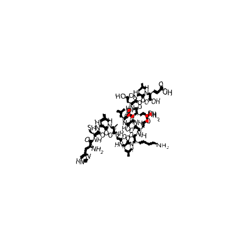 CC(C)C[C@H](NC(=O)CNC(=O)[C@H](C)NC(=O)[C@H](CC(C)C)NC(=O)[C@H](CS)NC(=O)[C@@H](N)Cc1c[nH]cn1)C(=O)N[C@@H](CCCCN)C(=O)N[C@@H](CCCCN)C(=O)N[C@@H](CC(=O)O)C(=O)N[C@@H](CC(C)C)C(=O)N[C@@H](CCC(=O)O)C(=O)N[C@@H](CC(=O)O)C(=O)N[C@@H](CC(C)C)C(=O)N[C@@H](CCC(=O)O)C(=O)O